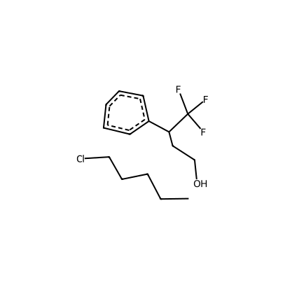 CCCCCCl.OCCC(c1ccccc1)C(F)(F)F